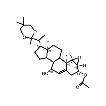 CC(=O)O[C@@H]1CC2=C[C@@H](O)C3C4CC[C@H](C(C)C5(C)OCC(C)(C)CO5)[C@@]4(C)CCC3[C@@]2(C)[C@H]2O[C@@H]12